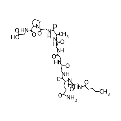 CCCCC(=O)NCC(=O)NC(CCC(N)=O)C(=O)NCC(=O)NCC(=O)NCC(=O)NC(C)C(=O)NCC(=O)N1CCCC1C(=O)NCC(=O)O